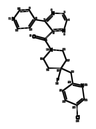 O=C(c1nccnc1-c1ccncc1)N1CCC(F)(Cc2ccc(Cl)cn2)CC1